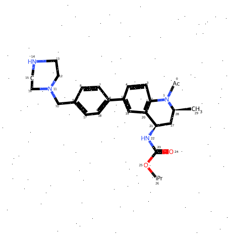 CC(=O)N1c2ccc(-c3ccc(CN4CCNCC4)cc3)cc2[C@H](NC(=O)OC(C)C)C[C@@H]1C